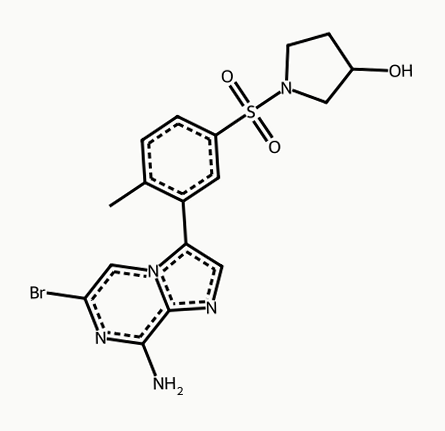 Cc1ccc(S(=O)(=O)N2CCC(O)C2)cc1-c1cnc2c(N)nc(Br)cn12